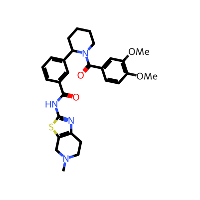 COc1ccc(C(=O)N2CCCCC2c2cccc(C(=O)Nc3nc4c(s3)CN(C)CC4)c2)cc1OC